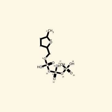 CC1CCC(COP(=O)(O)OP(=O)(O)OP(=O)(O)O)O1